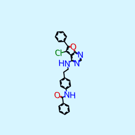 O=C(Nc1ccc(CCNc2ncnc3oc(-c4ccccc4)c(Cl)c23)cc1)c1ccccc1